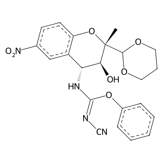 C[C@]1(C2OCCCO2)Oc2ccc([N+](=O)[O-])cc2[C@@H](N/C(=N/C#N)Oc2ccccc2)[C@@H]1O